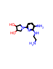 NCCNc1nc(N2CC(O)C(O)C2)ccc1N